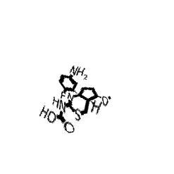 CO[C@H]1CC[C@]2(c3cc(N)ccc3F)N=C(NC(=O)O)SC[C@H]12